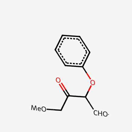 COCC(=O)C([C]=O)Oc1ccccc1